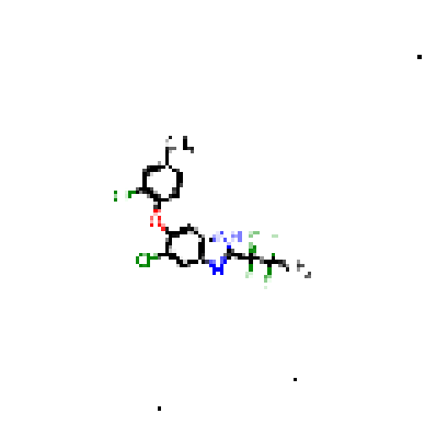 Cc1ccc(Oc2cc3[nH]c(C(F)(F)C(F)(F)C(F)(F)F)nc3cc2Cl)c(Cl)c1